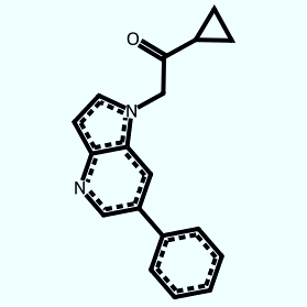 O=C(Cn1ccc2ncc(-c3ccccc3)cc21)C1CC1